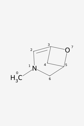 CN1C=C2CC(C1)O2